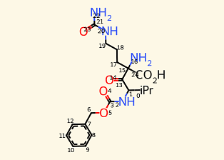 CC(C)C(NC(=O)OCc1ccccc1)C(=O)C(N)(CCCNC(N)=O)C(=O)O